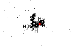 NC(=O)c1cc(-c2csc(C=O)c2)cc2c([C@H]3C[C@H]4CC[C@@H](C3)S4(O)O)c[nH]c12